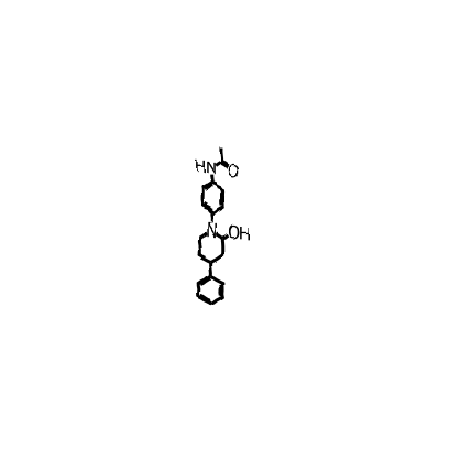 CC(=O)Nc1ccc(N2CCC(c3ccccc3)CC2O)cc1